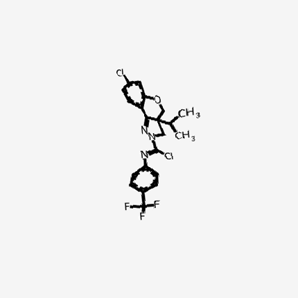 CC(C)C12COc3cc(Cl)ccc3C1=NN(C(Cl)=Nc1ccc(C(F)(F)F)cc1)C2